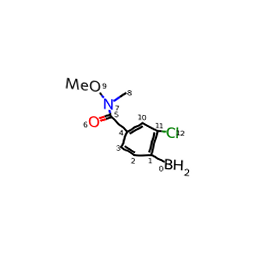 Bc1ccc(C(=O)N(C)OC)cc1Cl